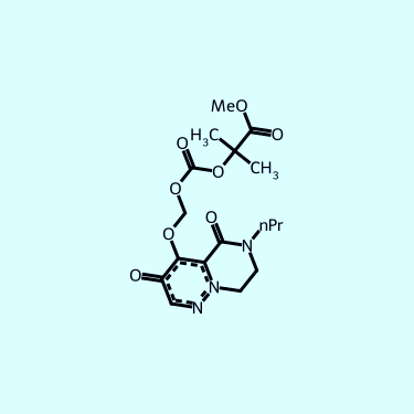 CCCN1CCn2ncc(=O)c(OCOC(=O)OC(C)(C)C(=O)OC)c2C1=O